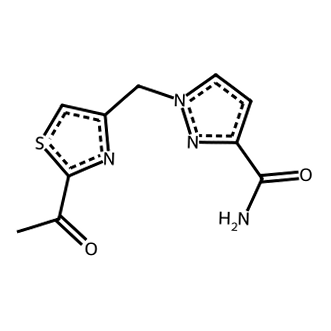 CC(=O)c1nc(Cn2ccc(C(N)=O)n2)cs1